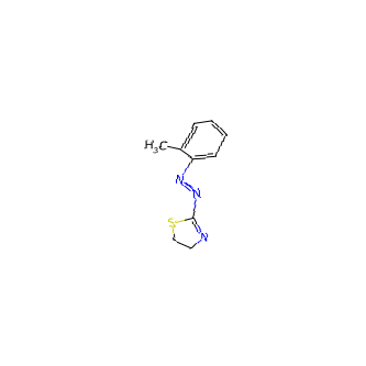 Cc1ccccc1/N=N/C1=NCCS1